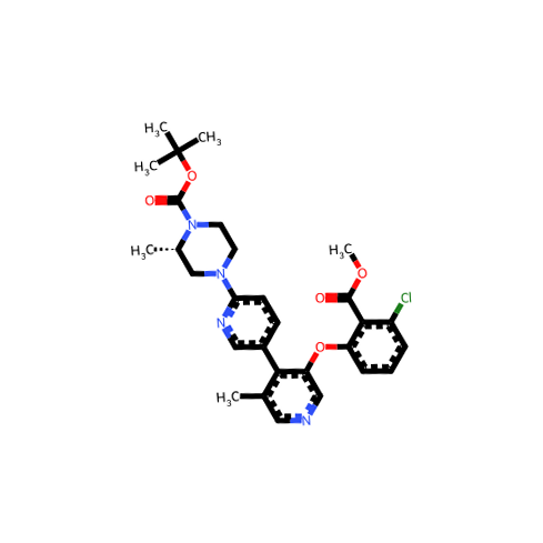 COC(=O)c1c(Cl)cccc1Oc1cncc(C)c1-c1ccc(N2CCN(C(=O)OC(C)(C)C)[C@@H](C)C2)nc1